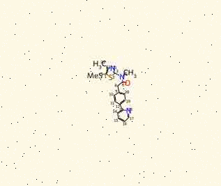 CSc1sc(N(C)C(=O)Cc2ccc(-c3ccccn3)cc2)nc1C